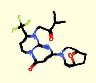 CC(C)C(=O)CN1c2nc(N3CC4CCC(C3)O4)cc(=O)n2CCC1C(F)(F)F